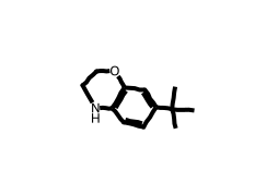 CC(C)(C)c1ccc2c(c1)OCCN2